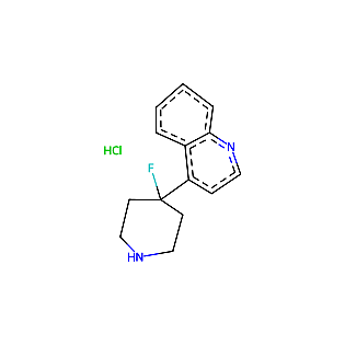 Cl.FC1(c2ccnc3ccccc23)CCNCC1